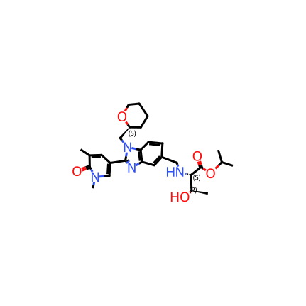 Cc1cc(-c2nc3cc(CN[C@H](C(=O)OC(C)C)[C@@H](C)O)ccc3n2C[C@@H]2CCCCO2)cn(C)c1=O